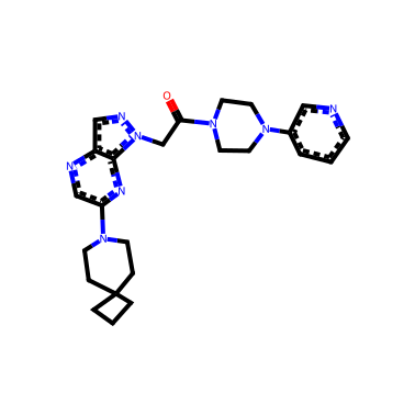 O=C(Cn1ncc2ncc(N3CCC4(CCC4)CC3)nc21)N1CCN(c2cccnc2)CC1